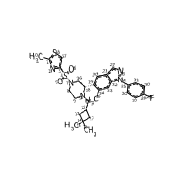 Cc1nc(S(=O)(=O)N2CCN(CC3CC(C)(C)C3)[C@@H](c3cc4cnn(-c5ccc(F)cc5)c4cc3C)C2)cs1